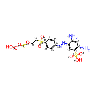 Nc1cc(N)c(S(=O)(=O)O)cc1/N=N/c1ccc(S(=O)(=O)CCOSOOO)cc1